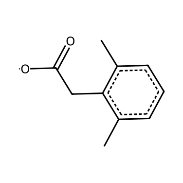 Cc1cccc(C)c1CC([O])=O